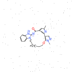 Cc1cc2cc(n1)-c1cnn(C)c1OCCC[C@@H](C)CN1/C(=N/C2=O)Nc2ccccc21